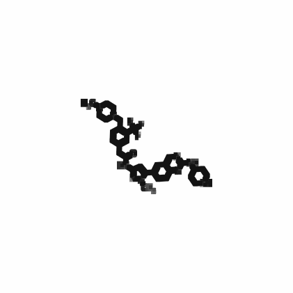 CN1CCN(Cc2ccc(CC(=O)Nc3cc(-c4ccc5nc(NC6CCNCC6)ncc5c4)n(C)n3)cc2C(F)(F)F)CC1